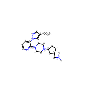 CCOC(=O)c1cnn(-c2cccnc2N2CCN(C3CCC4(C3)CN(C)C4)CC2)c1